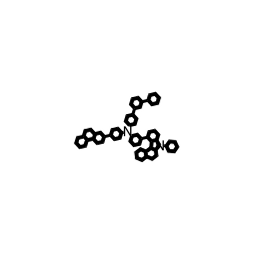 c1ccc(-c2cccc(-c3ccc(N(c4ccc(-c5ccc6c(ccc7ccccc76)c5)cc4)c4cccc(-c5cccc6c5c5c7ccccc7ccc5n6-c5ccccc5)c4)cc3)c2)cc1